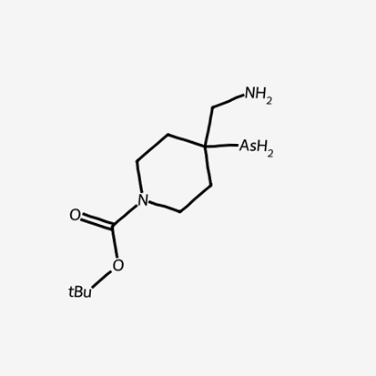 CC(C)(C)OC(=O)N1CCC([AsH2])(CN)CC1